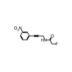 O=C(CF)NCC#Cc1cccc([N+](=O)[O-])c1